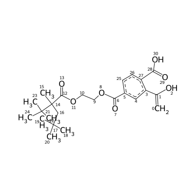 C=C(O)c1cc(C(=O)OCCOC(=O)C(C)(CC(C)(C)C)C(C)(C)C)ccc1C(=O)O